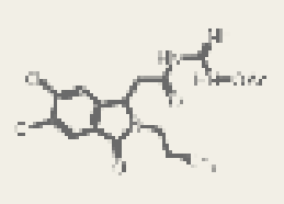 CC(=O)ONC(=N)NC(=O)CC1c2cc(Cl)c(Cl)cc2C(=O)N1CCC(F)(F)F